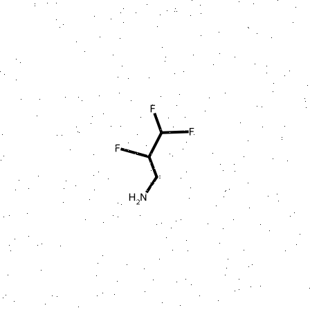 N[C]C(F)C(F)F